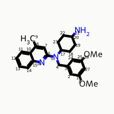 COc1cc(CN(c2cc(C)c3ccccc3n2)C2CCC(N)CC2)cc(OC)c1